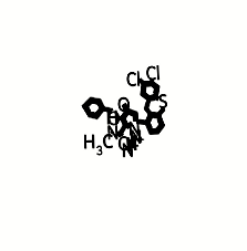 CNC(=O)c1c(OCc2ccccc2)c(=O)cc(-c2cccc3c2Cc2cc(Cl)c(Cl)cc2SC3)n1N=[N+]=[N-]